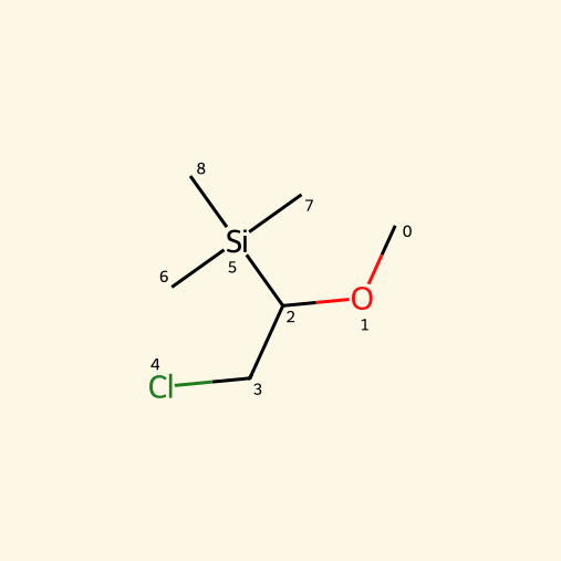 COC(CCl)[Si](C)(C)C